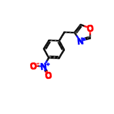 O=[N+]([O-])c1ccc(Cc2cocn2)cc1